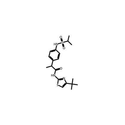 CC(C(=O)Nc1nc(C(C)(C)C)cs1)c1ccc(NS(=O)(=O)C(C)C)cc1